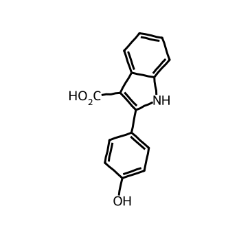 O=C(O)c1c(-c2ccc(O)cc2)[nH]c2ccccc12